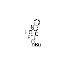 CCCCOCC(CF)Oc1cc2ccccc2nc1O